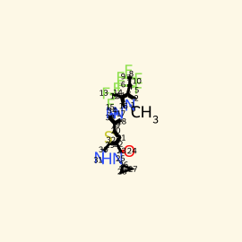 Cn1cc(C(F)(F)C(F)(F)F)c(C(F)(F)F)c1-n1cc(-c2cc(C(=O)NC3CC3)c(C#N)s2)cn1